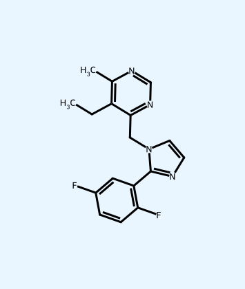 CCc1c(C)ncnc1Cn1ccnc1-c1cc(F)ccc1F